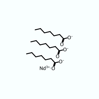 CCCCCCC(=O)[O-].CCCCCCC(=O)[O-].CCCCCCC(=O)[O-].[Nd+3]